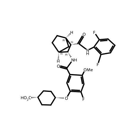 COc1cc(F)c(O[C@H]2CC[C@@H](C(=O)O)CC2)cc1C(=O)N[C@@H]1[C@H]2CC[C@H](C2)[C@@H]1C(=O)Nc1c(F)cccc1F